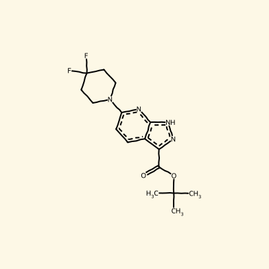 CC(C)(C)OC(=O)c1n[nH]c2nc(N3CCC(F)(F)CC3)ccc12